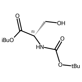 CC(C)COC(=O)[C@H](CO)NC(=O)OC(C)(C)C